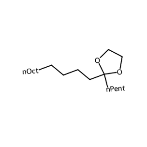 CCCCCCCCCCCCC1(CCCCC)OCCO1